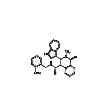 COc1ccccc1CNC(=O)C1c2ccccc2C(=O)N(C)C1c1c[nH]c2ccccc12